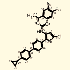 CC(OC(=O)Nc1cc(Cl)sc1-c1ccc(-c2ccc(C3CC3)cc2)cc1)c1ccc(F)c(F)c1